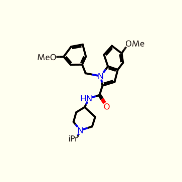 COc1cccc(Cn2c(C(=O)NC3CCN(C(C)C)CC3)cc3cc(OC)ccc32)c1